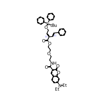 CCN(CC)c1ccc2cc(C(=O)NCCOCCOC(=O)C(/C=C/c3ccccc3)=C/CO[Si](c3ccccc3)(c3ccccc3)C(C)(C)C)c(=O)oc2c1